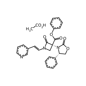 CC(=O)O.O=C1OC[C@H](c2ccccc2)N1[C@]1(C(=O)Oc2ccccc2)CN(C=Cc2cccnc2)C1=O